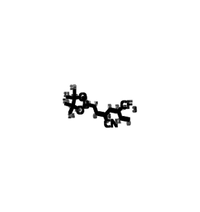 C=C/C(=C\C(C#N)=C/CB1OC(C)(C)C(C)(C)O1)C(F)(F)F